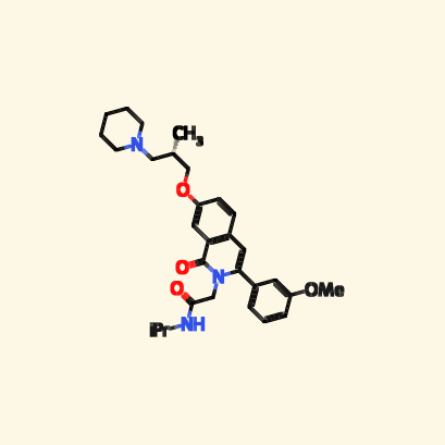 COc1cccc(-c2cc3ccc(OC[C@@H](C)CN4CCCCC4)cc3c(=O)n2CC(=O)NC(C)C)c1